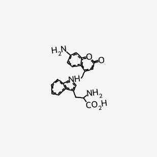 Cc1cc(=O)oc2cc(N)ccc12.NC(Cc1c[nH]c2ccccc12)C(=O)O